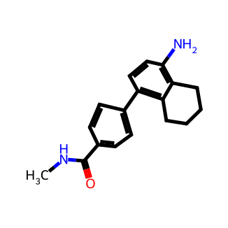 CNC(=O)c1ccc(-c2ccc(N)c3c2CCCC3)cc1